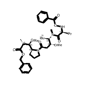 CC[C@H](C)[C@@H]([C@@H](CC(=O)N1CCC[C@H]1[C@H](OC)[C@@H](C)C(=O)OCc1ccccc1)OC)N(C)C(=O)[C@@H](NOC(=O)c1ccccc1)C(C)C